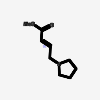 COC(=O)/C=C/CN1CCCC1